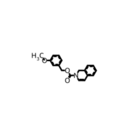 COc1cccc(COC(=O)N2C=Cc3ccccc3C2)c1